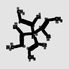 CC=C(CC)[PH](C(=CC)CC)(C(=CC)CC)C(=CC)CC